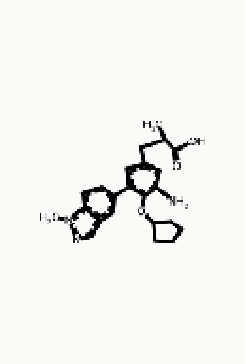 CC(Cc1cc(N)c(OC2CCCC2)c(-c2ccc3c(cnn3C)c2)c1)C(=O)O